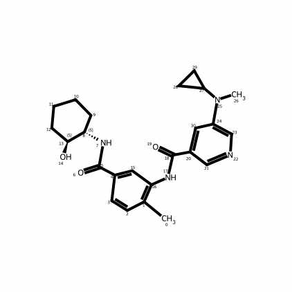 Cc1ccc(C(=O)N[C@H]2CCCC[C@@H]2O)cc1NC(=O)c1cncc(N(C)C2CC2)c1